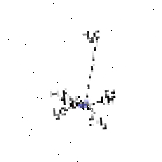 CCCCCCCCCCCCCCCCCCCCCCCCCCCC/C=C/C(=N\c1cc(CCCCC)cc(CCCCC)c1)C(/CC)=N/c1cc(CCCCC)cc(CCCCC)c1.[Pd]